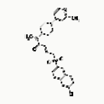 Cc1cc(N2CCC(N(C)C(=O)/C=C/CS(=O)(=O)c3ccc4cc(Cl)ccc4c3)CC2)ccn1